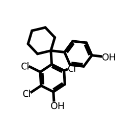 Oc1ccc(C2(c3c(Cl)cc(O)c(Cl)c3Cl)CCCCC2)cc1